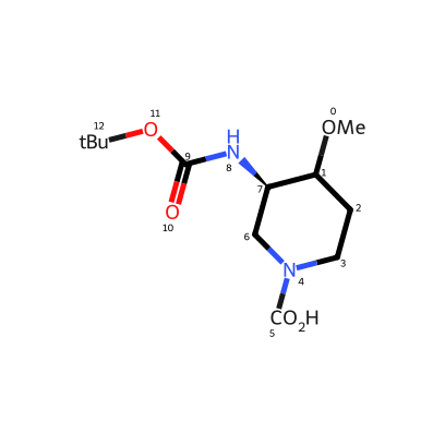 COC1CCN(C(=O)O)C[C@H]1NC(=O)OC(C)(C)C